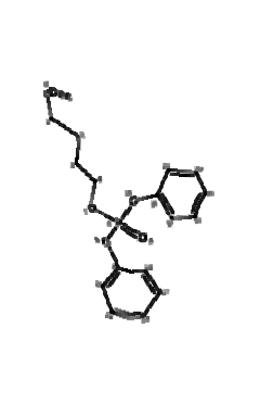 CCCCCCCCCCCCCCOP(=O)(Oc1ccccc1)Oc1ccccc1